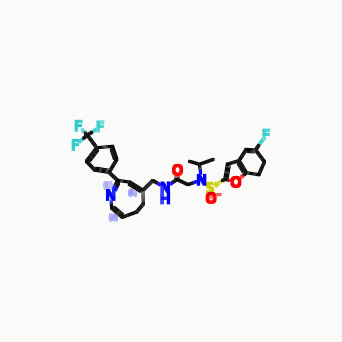 CC(C)N(CC(=O)NC/C1=C/C(c2ccc(C(F)(F)F)cc2)=N\C=C/CC1)[S+]([O-])c1cc2c(o1)CCC(F)=C2